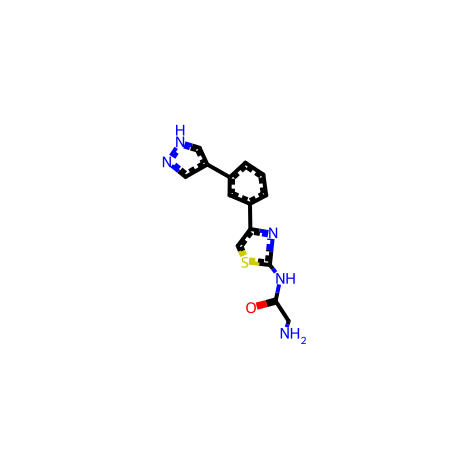 NCC(=O)Nc1nc(-c2cccc(-c3cn[nH]c3)c2)cs1